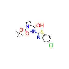 CC(C)(C)OC(=O)N1CC[C@H]1C(O)Nc1nc2cc(Cl)ccc2s1